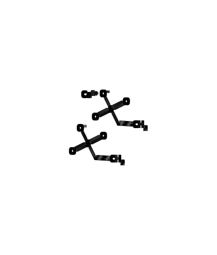 C=CS(=O)(=O)[O-].C=CS(=O)(=O)[O-].[Ca+2]